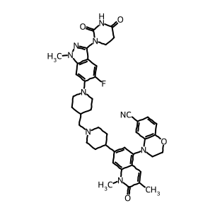 Cc1cc2c(N3CCOc4ccc(C#N)cc43)cc(C3CCN(CC4CCN(c5cc6c(cc5F)c(N5CCC(=O)NC5=O)nn6C)CC4)CC3)cc2n(C)c1=O